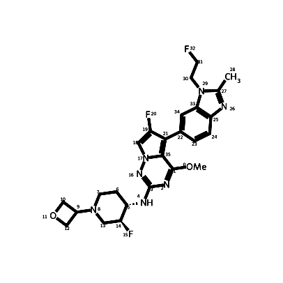 COc1nc(N[C@H]2CCN(C3COC3)C[C@@H]2F)nn2cc(F)c(-c3ccc4nc(C)n(CCF)c4c3)c12